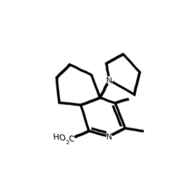 CC1=C(C)C2(N3CCCC3)CCCCC2C(C(=O)O)=N1